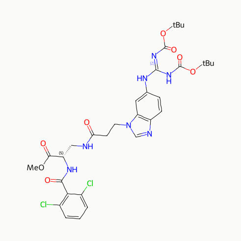 COC(=O)[C@H](CNC(=O)CCn1cnc2ccc(N/C(=N/C(=O)OC(C)(C)C)NC(=O)OC(C)(C)C)cc21)NC(=O)c1c(Cl)cccc1Cl